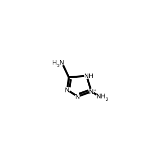 Nc1nn[n+](N)[nH]1